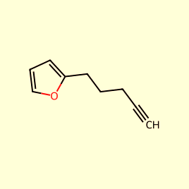 C#CCCCc1ccco1